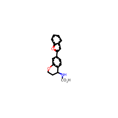 O=C(O)NC1CCOc2cc(-c3cc4ccccc4o3)ccc21